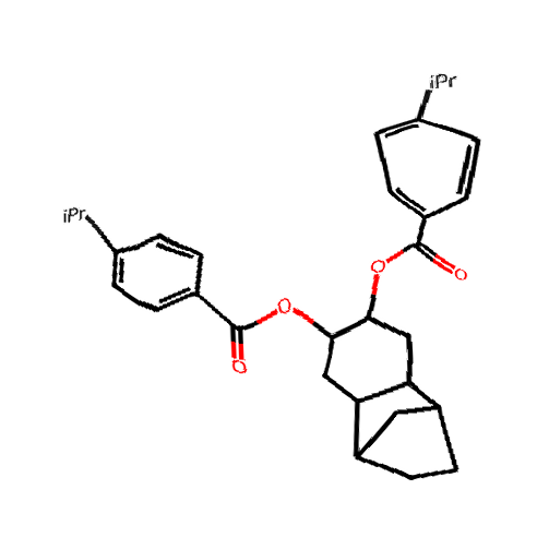 CC(C)c1ccc(C(=O)OC2CC3C4CCC(C4)C3CC2OC(=O)c2ccc(C(C)C)cc2)cc1